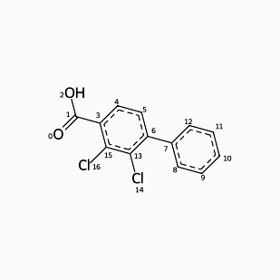 O=C(O)c1ccc(-c2ccccc2)c(Cl)c1Cl